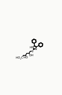 O=C(O)CC(O)CC(O)CSc1nc(-c2ccccc2)c(-c2ccccc2)[nH]1